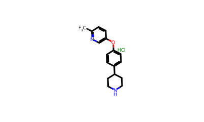 Cl.FC(F)(F)c1ccc(Oc2ccc(C3CCNCC3)cc2)cn1